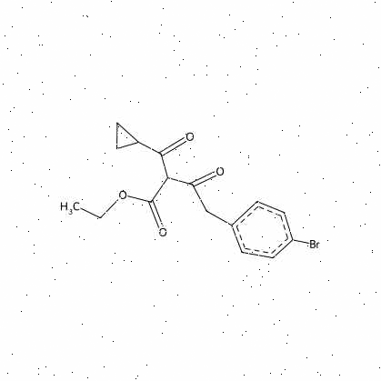 CCOC(=O)C(C(=O)Cc1ccc(Br)cc1)C(=O)C1CC1